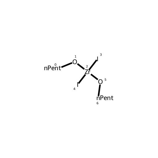 CCCCC[O][Zr]([I])([I])[O]CCCCC